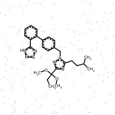 CCC(OC)(OC)c1nc(CCC(C)C)n(Cc2ccc(-c3ccccc3-c3nnn[nH]3)cc2)n1